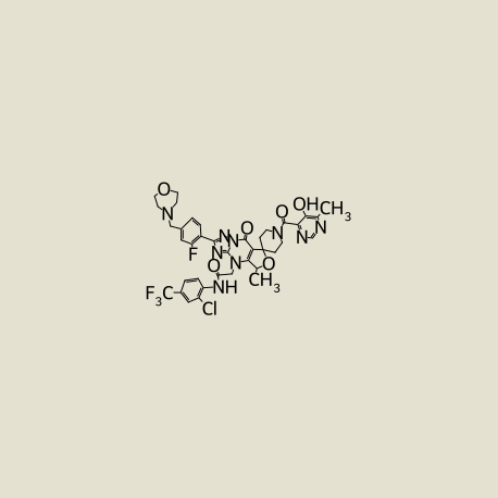 Cc1ncnc(C(=O)N2CCC3(CC2)OC(C)c2c3c(=O)n3nc(-c4ccc(CN5CCOCC5)cc4F)nc3n2CC(=O)Nc2ccc(C(F)(F)F)cc2Cl)c1O